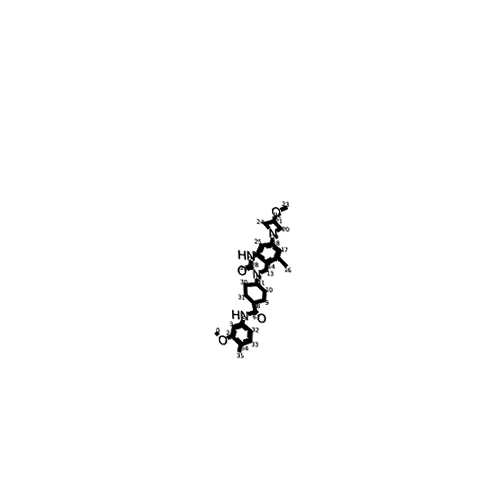 COc1cc(NC(=O)C2CCC(N3Cc4c(C)cc(N5CC(OC)C5)cc4NC3=O)CC2)ccc1C